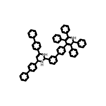 C1=C(c2ccc(-c3ccccc3)cc2)NC(c2cccc(-c3ccc(C4=C(c5ccccc5)C(c5ccccc5)NC(c5ccccc5)=C4c4ccccc4)cc3)c2)NC1c1ccc(-c2ccccc2)cc1